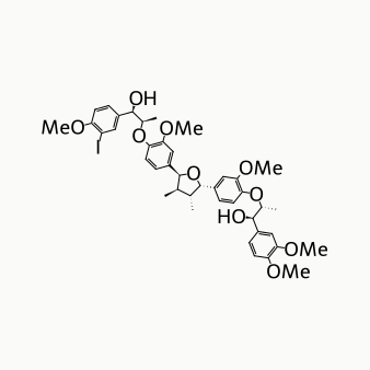 COc1ccc([C@@H](O)[C@@H](C)Oc2ccc([C@H]3O[C@H](c4ccc(O[C@H](C)[C@H](O)c5ccc(OC)c(OC)c5)c(OC)c4)[C@H](C)[C@H]3C)cc2OC)cc1I